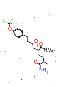 CNC(=O)[C@H](CCC(C)C(N)=O)C[C@@H](O)[CH]Cc1ccc(OC(F)F)cc1